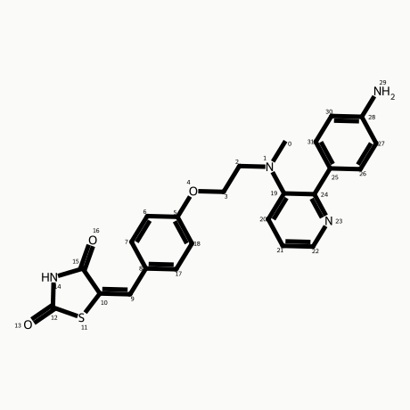 CN(CCOc1ccc(C=C2SC(=O)NC2=O)cc1)c1cccnc1-c1ccc(N)cc1